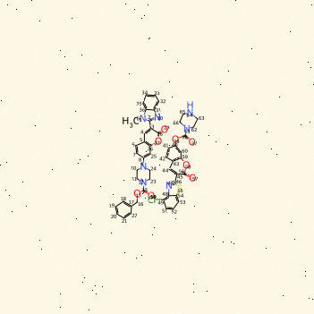 Cn1c(-c2cc3ccc(N4CCN(C(=O)OCc5ccccc5)CC4)cc3oc2=O)nc2ccccc21.O=C(Oc1ccc2cc(-c3nc4c(Cl)cccc4s3)c(=O)oc2c1)N1CCNCC1